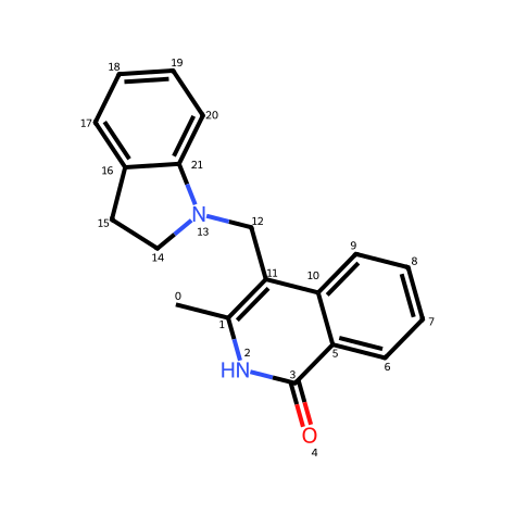 Cc1[nH]c(=O)c2ccccc2c1CN1CCc2ccccc21